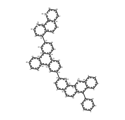 c1ccc(-c2c3ccccc3nc3c2ccc2ccc(-c4ccc5c6ccc(-c7ccnc8c7ccc7cccnc78)cc6c6ccccc6c5c4)nc23)cc1